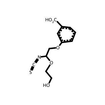 O=C(O)c1cccc(OCC(N=C=S)OCCO)c1